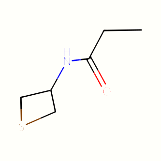 CCC(=O)NC1CSC1